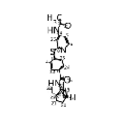 CC(=O)Nc1ccnc(Sc2ccc(C(=O)N[C@@H]3C[C@H]4CC[C@@H]3N4)cc2)c1